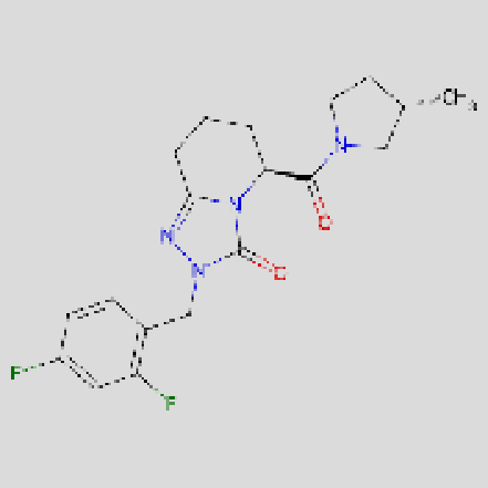 C[C@H]1CCN(C(=O)[C@@H]2CCCc3nn(Cc4ccc(F)cc4F)c(=O)n32)C1